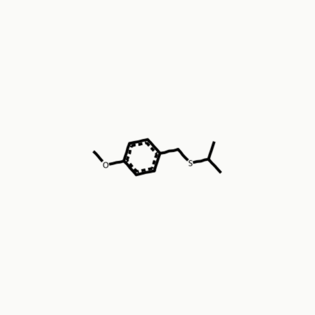 COc1ccc(CS[C](C)C)cc1